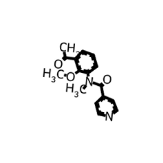 COc1c(C(C)=O)cccc1N(C)C(=O)c1ccncc1